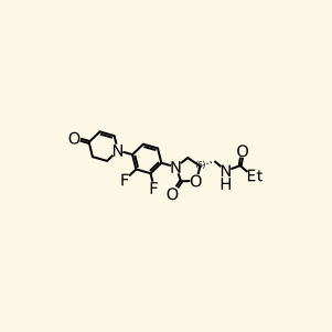 CCC(=O)NC[C@H]1CN(c2ccc(N3C=CC(=O)CC3)c(F)c2F)C(=O)O1